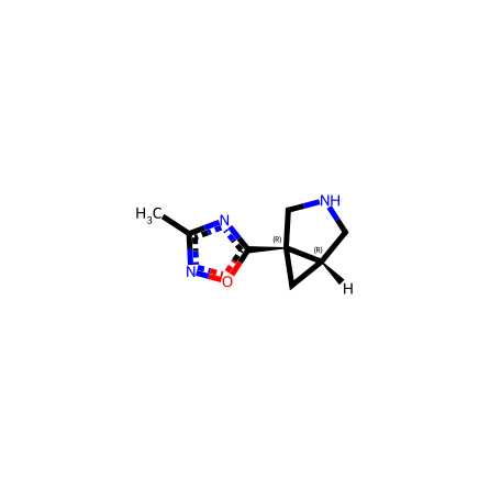 Cc1noc([C@@]23CNC[C@@H]2C3)n1